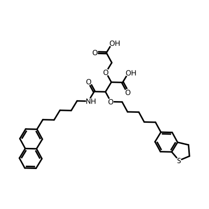 O=C(O)COC(C(=O)O)C(OCCCCCc1ccc2c(c1)CCS2)C(=O)NCCCCCc1ccc2ccccc2c1